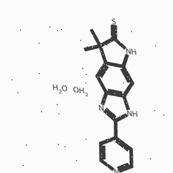 CC1(C)C(=S)Nc2cc3[nH]c(-c4ccncc4)nc3cc21.O.O